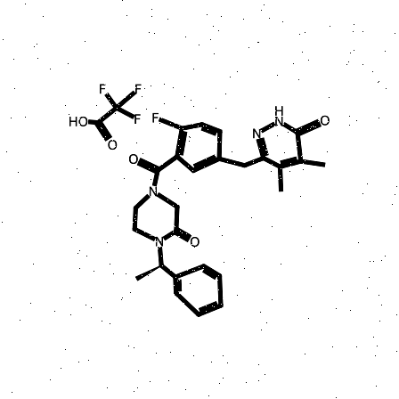 Cc1c(Cc2ccc(F)c(C(=O)N3CCN([C@H](C)c4ccccc4)C(=O)C3)c2)n[nH]c(=O)c1C.O=C(O)C(F)(F)F